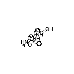 CC(C)C[C@H](NC(=O)OCCO)C(=O)N[C@@H](Cc1ccccc1)C(=O)C(=O)NC1CC1